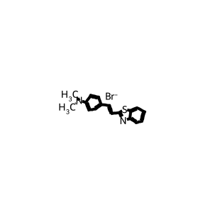 CN(C)c1ccc(C=CC2=[N+]c3ccccc3S2)cc1.[Br-]